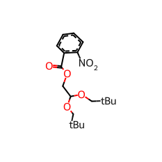 CC(C)(C)COC(COC(=O)c1ccccc1[N+](=O)[O-])OCC(C)(C)C